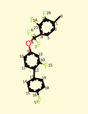 Cc1ccc(C(F)(F)Oc2ccc(-c3ccc(F)cc3)c(F)c2)c(F)c1F